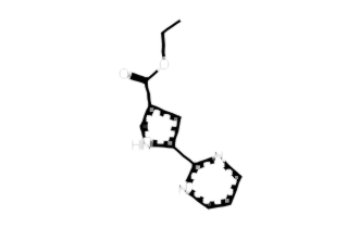 CCOC(=O)c1c[nH]c(-c2ncccn2)c1